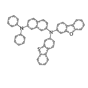 c1ccc(N(c2ccccc2)c2ccc3ccc(N(c4ccc5c(c4)oc4ccccc45)c4ccc5c(c4)sc4ccccc45)cc3c2)cc1